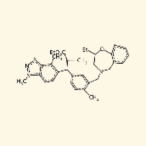 CCOC(=O)C(C)[C@@H](c1ccc(C)c(CN2Cc3ccccc3OC(CC)C2)c1)c1ccc2c(nnn2C)c1C